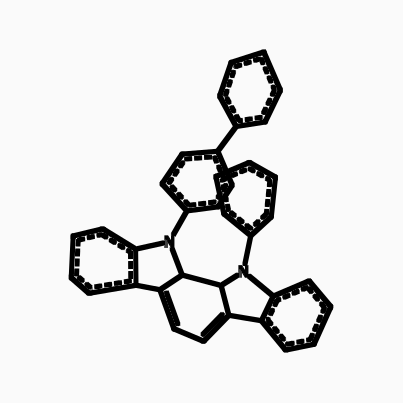 C1=C2c3ccccc3N(c3ccccc3)C2C2C(=C1)c1ccccc1N2c1ccc(-c2ccccc2)cc1